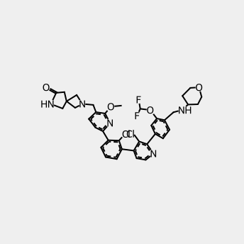 COc1nc(-c2cccc(-c3ccnc(-c4ccc(CNC5CCOCC5)c(OC(F)F)c4)c3Cl)c2Cl)ccc1CN1CC2(CNC(=O)C2)C1